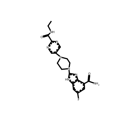 CCNC(=O)c1ncc(N2CCN(c3nc4c(C(N)=O)cc(F)cc4[nH]3)CC2)cn1